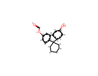 O=COc1ccc(C2(c3ccc(O)cc3)CCCCC2)cc1